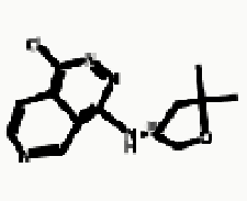 CC1(C)C[C@@H](Nc2nnc(Cl)c3ccncc23)CO1